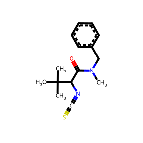 CN(Cc1ccccc1)C(=O)C(N=C=S)C(C)(C)C